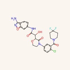 Nc1noc2cc(NC(=O)C(O)C3OCCN(c4ccc(Cl)c(C(=O)N5CCC(F)(F)CC5)c4)C3=O)ccc12